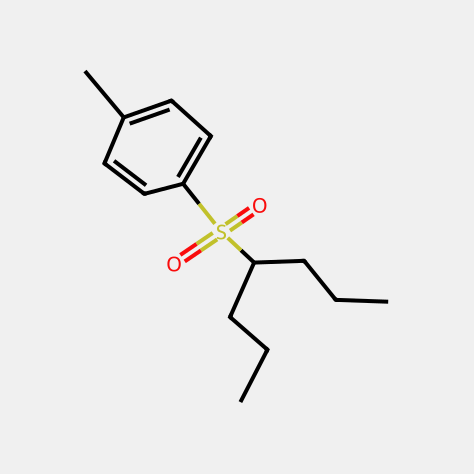 CCCC(CCC)S(=O)(=O)c1ccc(C)cc1